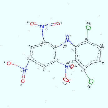 O=[N+]([O-])c1cc([N+](=O)[O-])c(Nc2cc(Cl)ccc2Cl)c([N+](=O)[O-])c1